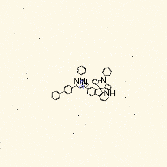 NC(/C=C(\N=C\c1ccccc1)c1ccc2c(c1)C1(C3=C2C=CCN3)c2ccccc2N(c2ccccc2)c2ccccc21)c1ccc(-c2ccccc2)cc1